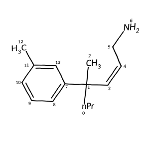 CCCC(C)(/C=C\CN)c1cccc(C)c1